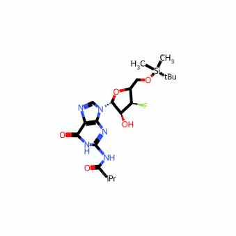 CC(C)C(=O)Nc1nc2c(ncn2[C@@H]2OC(CO[Si](C)(C)C(C)(C)C)[C@@H](F)[C@H]2O)c(=O)[nH]1